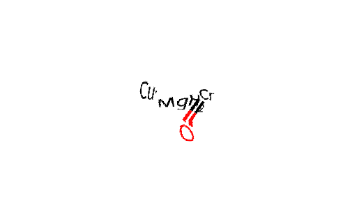 [Cu].[MgH2].[O]=[Cr]